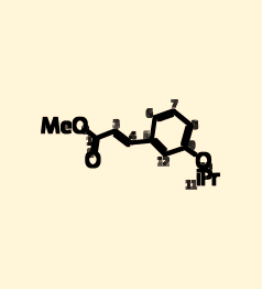 COC(=O)C=Cc1cccc(OC(C)C)c1